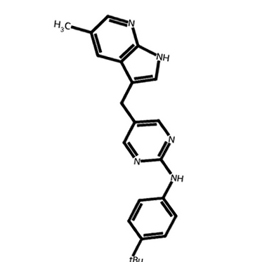 Cc1cnc2[nH]cc(Cc3cnc(Nc4ccc(C(C)(C)C)cc4)nc3)c2c1